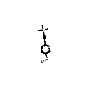 CCOc1ccc(C#C[Si](C)(C)C)nc1